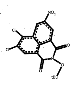 CC(C)(C)ON1C(=O)c2cc([N+](=O)[O-])cc3c(Cl)c(Cl)cc(c23)C1=O